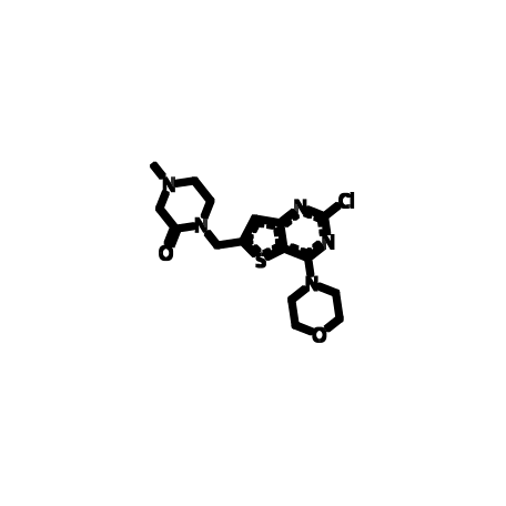 CN1CCN(Cc2cc3nc(Cl)nc(N4CCOCC4)c3s2)C(=O)C1